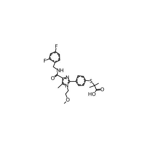 COCCn1c(-c2ccc(SC(C)(C)C(=O)O)cc2)nc(C(=O)NCc2ccc(F)cc2F)c1C